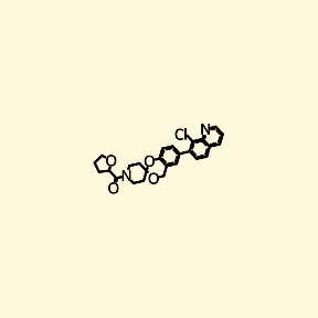 O=C(C1CCCO1)N1CCC2(CC1)OCc1cc(-c3ccc4cccnc4c3Cl)ccc1O2